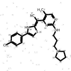 Cc1cnc(NCCCN2CCCC2)nc1/C(C#N)=C1/NC(c2ccc(Cl)cc2)=CS1